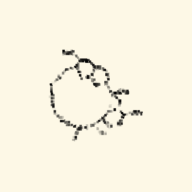 COC(=O)[C@@H]1C[C@]2(OC)CN1C(=O)[C@H](C(C)(C)C)NC(=O)OCCCCCCCc1cc3cc2ccc3cc1OC